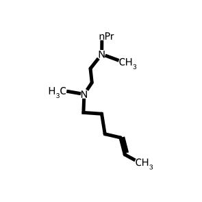 C/C=C/CCCN(C)CCN(C)CCC